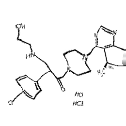 C[C@@H]1CCc2ncnc(N3CCN(C(=O)C(CNCCO)c4ccc(Cl)cc4)CC3)c21.Cl.Cl